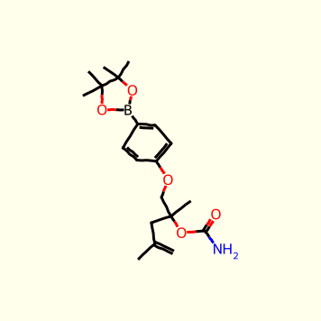 C=C(C)CC(C)(COc1ccc(B2OC(C)(C)C(C)(C)O2)cc1)OC(N)=O